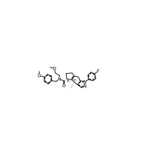 COCCN(Cc1ccc(OC)cc1)C(=O)[C@@H]1CCC2=C1[C@@H](C)c1cnn(-c3ccc(F)cc3)c1C2